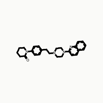 O=C1CCCCN1c1ccc(CCN2CCN(c3ccc4ccccc4n3)CC2)cc1